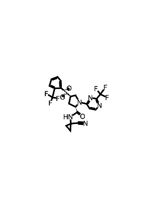 N#CC1(NC(=O)[C@@H]2C[C@@H](S(=O)(=O)c3ccccc3C(F)(F)F)CN2c2ccnc(C(F)(F)F)n2)CC1